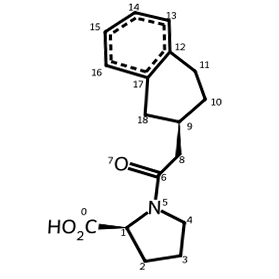 O=C(O)[C@@H]1CCCN1C(=O)C[C@@H]1CCc2ccccc2C1